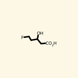 O=C(O)CC(O)CCF